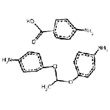 CC(Oc1ccc(N)cc1)Oc1ccc(N)cc1.Nc1ccc(C(=O)O)cc1